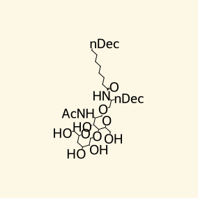 CCCCCCCCCCCCCCCCCC(=O)NC(CCCCCCCCCC)CO[C@@H]1OC(CO)[C@@H](O[C@@H]2OC(CO)C[C@H](O)C2O)[C@H](O)C1NC(C)=O